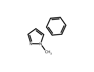 Cn1cccn1.c1ccccc1